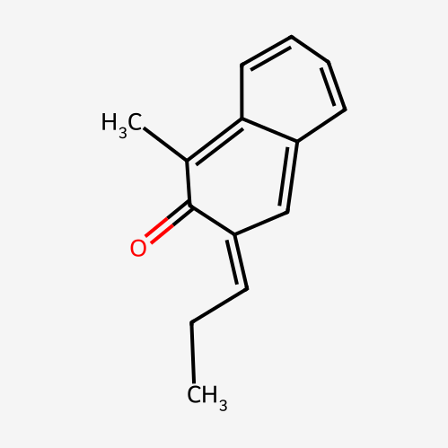 CCC=C1C=c2ccccc2=C(C)C1=O